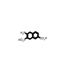 NC1=C(S(=O)(=O)O)Cc2cc(S(=O)(=O)O)ccc2C1